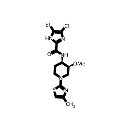 CCc1[nH]c(C(=O)N[C@@H]2CCN(c3nc(C)cs3)C[C@@H]2OC)nc1Cl